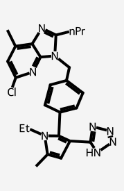 CCCc1nc2c(C)cc(Cl)nc2n1Cc1ccc(-c2c(-c3nnn[nH]3)cc(C)n2CC)cc1